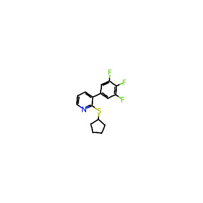 Fc1cc(-c2cccnc2SC2CCCC2)cc(F)c1F